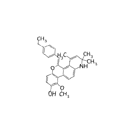 CCc1ccc(/C=C2\Oc3ccc(O)c(OC)c3-c3ccc4c(c32)C(C)=CC(C)(C)N4)cc1